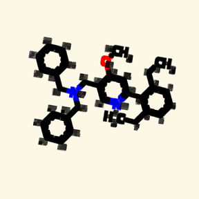 CCc1cccc(CC)c1-c1cc(OC)c(CN(Cc2ccccc2)Cc2ccccc2)cn1